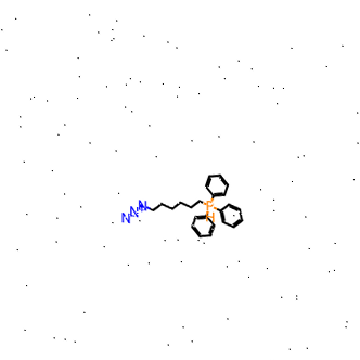 [N-]=[N+]=NCCCCCC[PH](c1ccccc1)(c1ccccc1)c1ccccc1